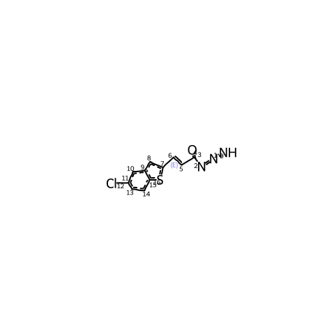 N=[N+]=NC(=O)/C=C/c1cc2cc(Cl)ccc2s1